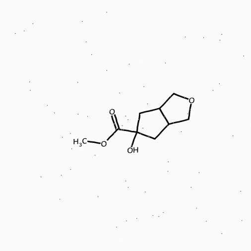 COC(=O)C1(O)CC2COCC2C1